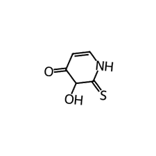 O=C1C=CNC(=S)C1O